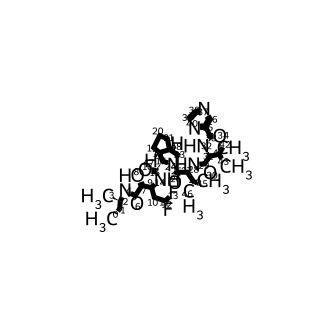 CC[C@H](C)NC(=O)C(=O)C(CC(F)F)NC(=O)[C@@H]1[C@H]2CCC[C@H]2CN1C(=O)[C@@H](NC(=O)[C@@H](NC(=O)c1cnccn1)C(C)C)C(C)C